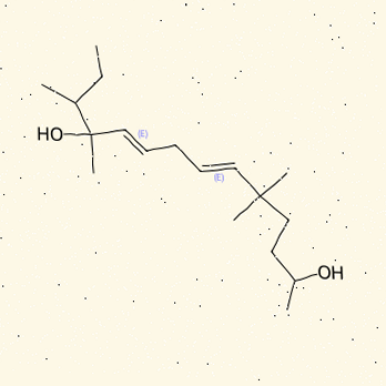 CCC(C)C(C)(O)/C=C/C/C=C/C(C)(C)CCC(C)O